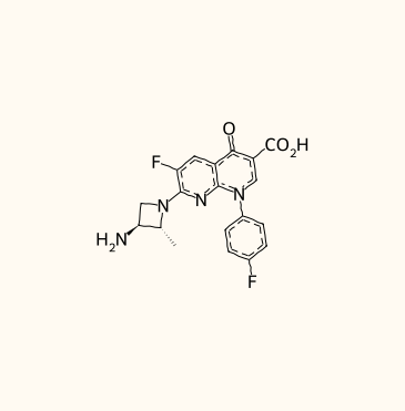 C[C@@H]1[C@@H](N)CN1c1nc2c(cc1F)c(=O)c(C(=O)O)cn2-c1ccc(F)cc1